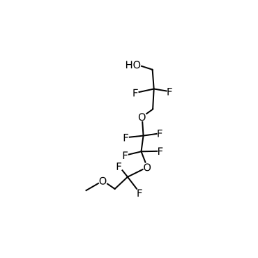 COCC(F)(F)OC(F)(F)C(F)(F)OCC(F)(F)CO